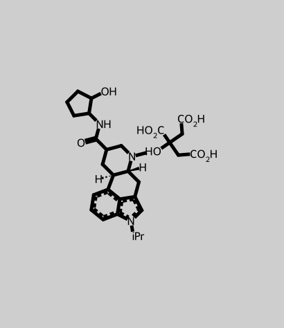 CC(C)n1cc2c3c(cccc31)[C@H]1CC(C(=O)NC3CCCC3O)CN(C)[C@@H]1C2.O=C(O)CC(O)(CC(=O)O)C(=O)O